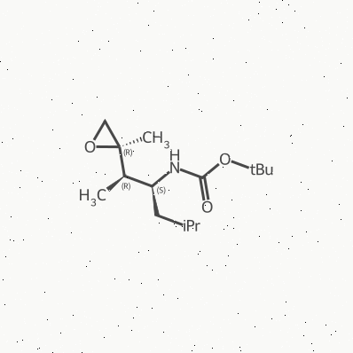 CC(C)C[C@H](NC(=O)OC(C)(C)C)[C@@H](C)[C@]1(C)CO1